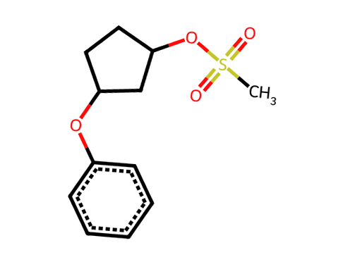 CS(=O)(=O)OC1CCC(Oc2ccccc2)C1